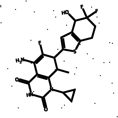 CC1c2c(c(=O)[nH]c(=O)n2C2CC2)C(N)=C(F)C1c1cc2c(s1)CCC(F)(F)C2O